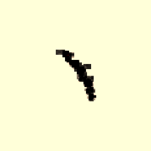 N#Cc1cc(-c2ncnc(Nc3ccc(N4CCN(C5COC5)CC4)cc3)n2)ccc1O[C@H]1CCN(COCC2C[C@@H](O)CN2)C[C@H]1F